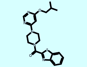 CC(C)COc1cc(N2CCN(C(=O)c3nc4ccccc4s3)CC2)ncn1